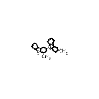 Cc1ccc2c(c1)c1ccccc1n2-c1cc(C)c2sc3ccccc3c2c1